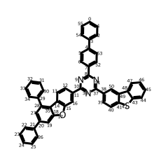 c1ccc(-c2ccc(-c3nc(-c4ccc5c(c4)oc4cc(-c6ccccc6)cc(-c6ccccc6)c45)nc(-c4ccc5sc6ccccc6c5c4)n3)cc2)cc1